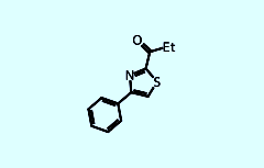 CCC(=O)c1nc(-c2ccccc2)cs1